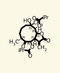 C=C1C(=O)O[C@H]2[C@H]1[C@@H](OC(=O)C(C)C)C(=O)[C@H](C)CCC[C@](C)(O)[C@@H]2OC(=O)C(C)C